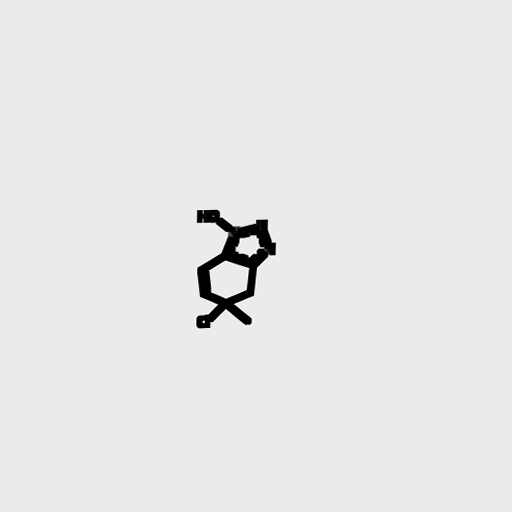 CC1(Cl)C=Cc2c(nnn2O)C1